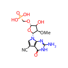 CO[C@@H]1C(O)[C@@H](OCP(=O)(O)O)O[C@H]1n1cc(C#N)c2c(=O)[nH]c(N)nc21